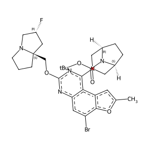 Cc1cc2c(o1)c(Br)cc1nc(OC[C@@]34CCCN3C[C@H](F)C4)nc(N3C[C@H]4CC[C@@H](C3)N4C(=O)OC(C)(C)C)c12